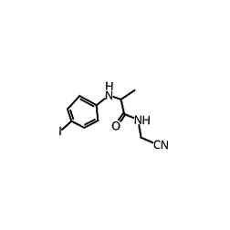 CC(Nc1ccc(I)cc1)C(=O)NCC#N